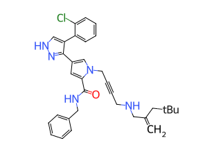 C=C(CNCC#CCn1cc(-c2n[nH]cc2-c2ccccc2Cl)cc1C(=O)NCc1ccccc1)CC(C)(C)C